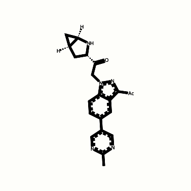 CC(=O)c1nn(CC(=O)[C@@H]2C[C@H]3C[C@H]3N2)c2ccc(-c3cnc(C)nc3)cc12